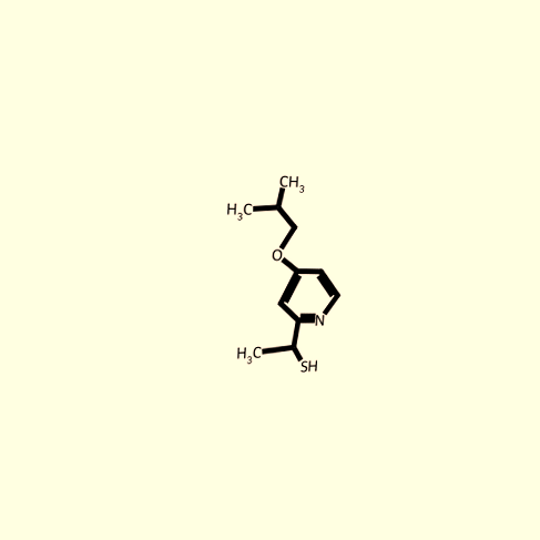 CC(C)COc1ccnc(C(C)S)c1